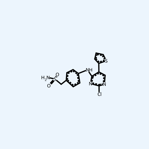 NS(=O)(=O)Cc1ccc(Nc2nc(Cl)ncc2-c2cccs2)cc1